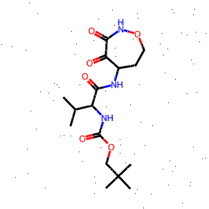 CC(C)C(NC(=O)OCC(C)(C)C)C(=O)NC1CCONC(=O)C1=O